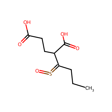 CCCC(=S=O)C(CCC(=O)O)C(=O)O